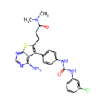 CN(C)C(=O)CCc1sc2ncnc(N)c2c1-c1ccc(NC(=O)Nc2cccc(Cl)c2)cc1